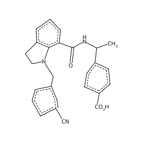 CC(NC(=O)c1cccc2c1N(Cc1cccc(C#N)c1)CC2)c1ccc(C(=O)O)cc1